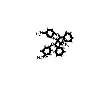 Nc1ccc(OC(c2ccccc2)C(F)(C(Oc2ccc(N)cc2)c2ccccc2)C(F)(F)C(F)(F)F)cc1